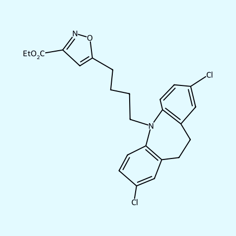 CCOC(=O)c1cc(CCCCN2c3ccc(Cl)cc3CCc3cc(Cl)ccc32)on1